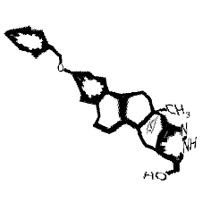 C[C@]12CCC3c4ccc(OCc5ccccc5)cc4CCC3C1Cc1c2n[nH]c1CO